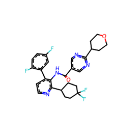 O=C(Nc1c(-c2cc(F)ccc2F)ccnc1C1CCC(F)(F)CC1)c1cnc(C2CCOCC2)nc1